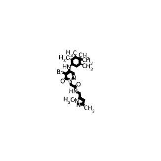 Cc1cc(CNC(=O)Cn2ncc(N[C@@H]3C[C@H](C)C(C)(C)[C@H](C)[C@H]3C)c(Br)c2=O)n(C)n1